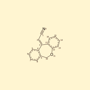 N#CC=C1c2ccccc2COc2ccccc21